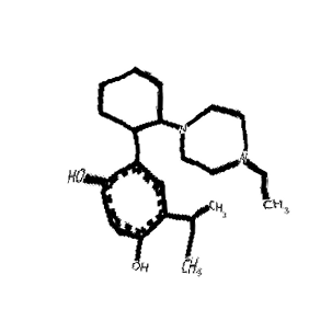 CCN1CCN([C]2CCCCC2c2cc(C(C)C)c(O)cc2O)CC1